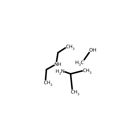 CC(C)N.CCNCC.CO